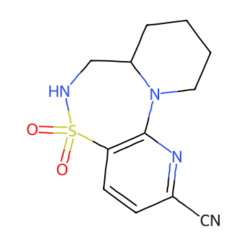 N#Cc1ccc2c(n1)N1CCCCC1CNS2(=O)=O